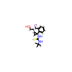 CC(C)(C)NC(=S)N[C@@]1(c2ccccc2CI)C[C@H]1CCO